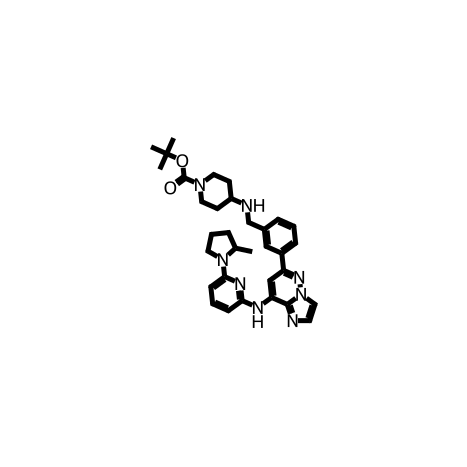 CC1CCCN1c1cccc(Nc2cc(-c3cccc(CNC4CCN(C(=O)OC(C)(C)C)CC4)c3)nn3ccnc23)n1